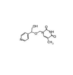 Cc1cn(COC(CO)c2ccncc2)c(=O)[nH]c1=O